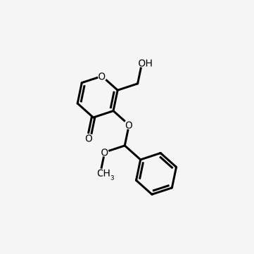 COC(Oc1c(CO)occc1=O)c1ccccc1